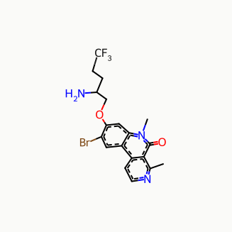 Cc1nccc2c1c(=O)n(C)c1cc(OCC(N)CCC(F)(F)F)c(Br)cc21